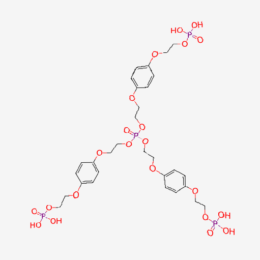 O=P(O)(O)OCCOc1ccc(OCCOP(=O)(OCCOc2ccc(OCCOP(=O)(O)O)cc2)OCCOc2ccc(OCCOP(=O)(O)O)cc2)cc1